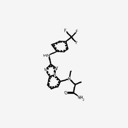 CC(C(N)=O)N(C)c1cccc2nc(Nc3ccc(C(F)(F)F)cc3)nn12